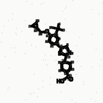 CC(C)(C)c1cc(-c2cnc(-c3ccc(C(=O)O)cc3)s2)ccc1OCC1CC1